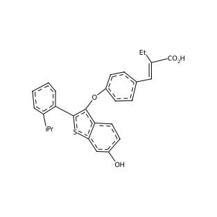 CC/C(=C\c1ccc(Oc2c(-c3ccccc3C(C)C)sc3cc(O)ccc23)cc1)C(=O)O